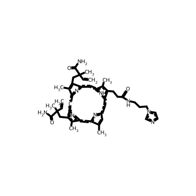 C=CC(C)(CC1=C(C)c2cc3[nH]c(cc4nc(cc5[nH]c(cc1n2)c(C)c5CCC(=O)NCCCn1ccnc1)C=C4C)c(C)c3CC(C)(C=C)C(N)=O)C(N)=O